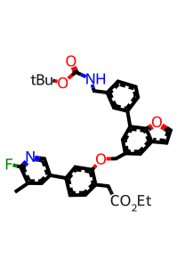 CCOC(=O)Cc1ccc(-c2cnc(F)c(C)c2)cc1OCc1cc(-c2cccc(CNC(=O)OC(C)(C)C)c2)c2occc2c1